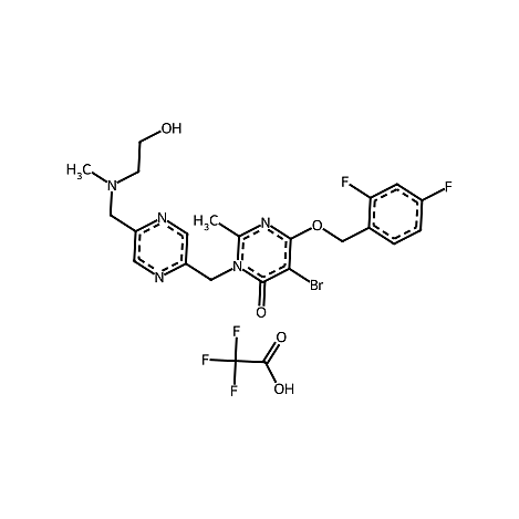 Cc1nc(OCc2ccc(F)cc2F)c(Br)c(=O)n1Cc1cnc(CN(C)CCO)cn1.O=C(O)C(F)(F)F